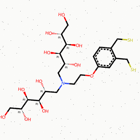 OC[C@@H](O)[C@@H](O)[C@H](O)[C@H](O)CN(CCOc1ccc(CS)c(CS)c1)C[C@@H](O)[C@@H](O)[C@H](O)[C@H](O)CO